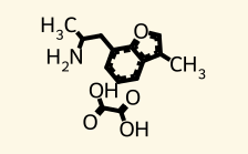 Cc1coc2c(CC(C)N)cccc12.O=C(O)C(=O)O